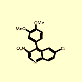 COc1ccc(-c2c([N+](=O)[O-])cnc3ccc(Cl)cc23)cc1OC